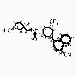 CN1CC[C@@](F)(CNC(=O)[C@H]2CN(c3cnc(C#N)c4ncccc34)C[C@@H](C(F)(F)F)O2)C1